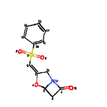 O=C1CC2OC(=CS(=O)(=O)c3ccccc3)CN12